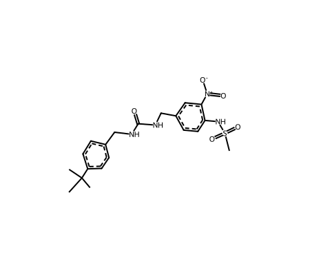 CC(C)(C)c1ccc(CNC(=O)NCc2ccc(NS(C)(=O)=O)c([N+](=O)[O-])c2)cc1